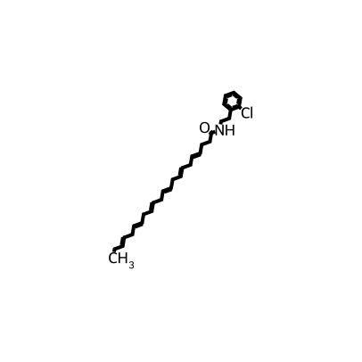 CCC=CCC=CCC=CCC=CCC=CCC=CCCC(=O)NCCc1ccccc1Cl